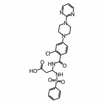 O=C(O)CC(NC(=O)c1ccc(N2CCN(c3ncccn3)CC2)cc1Cl)NS(=O)(=O)c1ccccc1